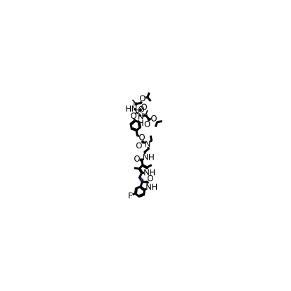 CCN(CCNC(=O)c1c(C)[nH]c(/C=C2\C(=O)Nc3ccc(F)cc32)c1C)C(=O)OCc1ccc(OP(=O)(N[C@@H](C)C(=O)OC(C)C)N[C@@H](C)C(=O)OC(C)C)cc1